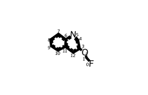 FCOc1cnc2ccccc2c1